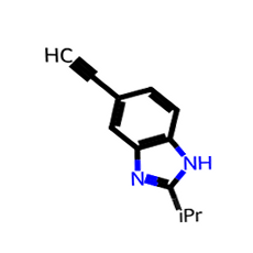 C#Cc1ccc2[nH]c(C(C)C)nc2c1